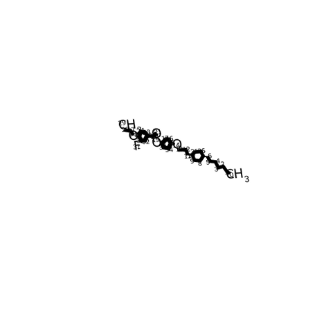 CCCCCCC[C@H]1CC[C@H](CCCOc2ccc(OC(=O)c3ccc(OCCC)c(F)c3)cc2)CC1